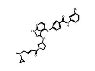 CC(C)c1ccnc(NC(=O)c2ccc(Oc3ccnc4[nH]nc(NC5CCN(C(=O)/C=C/CN(C)C6CC6)C5)c34)cc2)c1